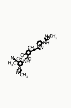 Cc1cn(-c2cc(NCC(=O)c3cc(C#Cc4cnc5c(Nc6cnn(C)c6)cccn45)c(C)cc3Cl)cc(C(C)(C)C#N)c2)cn1